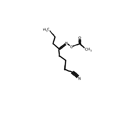 CCCC(CCCC#N)=NOC(C)=O